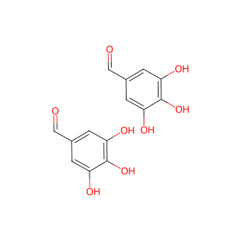 O=Cc1cc(O)c(O)c(O)c1.O=Cc1cc(O)c(O)c(O)c1